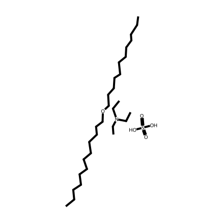 CCCCCCCCCCCCOCCCCCCCCCCCC.CCN(CC)CC.O=S(=O)(O)O